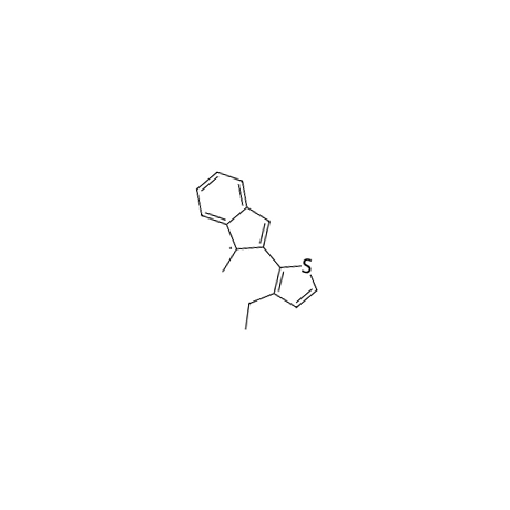 CCc1ccsc1C1=Cc2ccccc2[C]1C